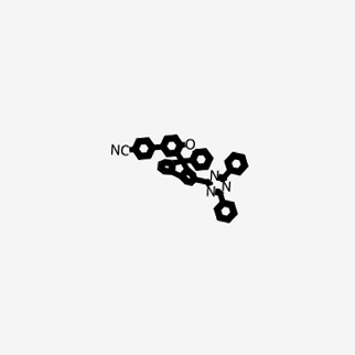 N#Cc1ccc(-c2ccc3c(c2)C2(c4ccccc4O3)c3ccccc3-c3ccc(-c4nc(-c5ccccc5)nc(-c5ccccc5)n4)cc32)cc1